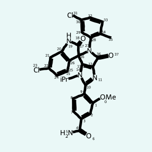 COc1cc(C(N)=O)ccc1-c1nc2c(n1C(C)C)C1(C(=O)Nc3cc(Cl)ccc31)N(c1cc(Cl)ccc1C)C2=O